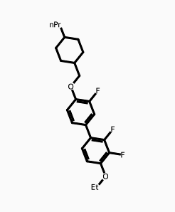 CCCC1CCC(COc2ccc(-c3ccc(OCC)c(F)c3F)cc2F)CC1